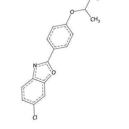 CCOC(=O)C(C)Oc1ccc(-c2nc3ccc(Cl)cc3o2)cc1